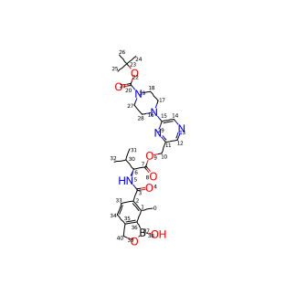 Cc1c(C(=O)N[C@H](C(=O)OCc2cncc(N3CCN(C(=O)OC(C)(C)C)CC3)n2)C(C)C)ccc2c1B(O)OC2